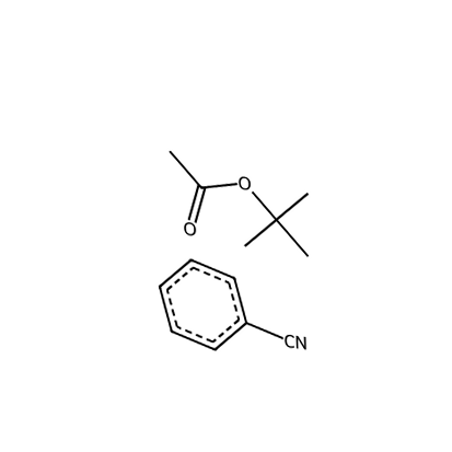 CC(=O)OC(C)(C)C.N#Cc1ccccc1